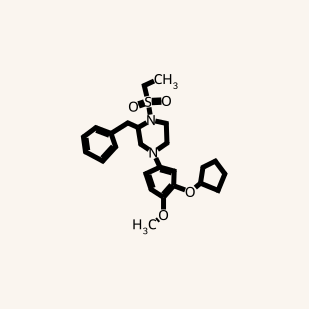 CCS(=O)(=O)N1CCN(c2ccc(OC)c(OC3CCCC3)c2)CC1Cc1ccccc1